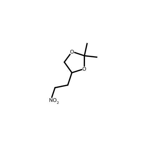 CC1(C)OCC(CC[N+](=O)[O-])O1